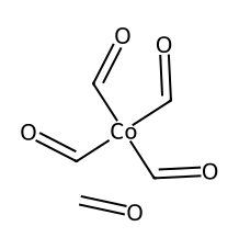 C=O.O=[CH][Co]([CH]=O)([CH]=O)[CH]=O